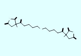 O=C1CC(O)(C(=O)CCCCSCCCCC(=O)C2(O)CC(=O)NC2=O)C(=O)N1